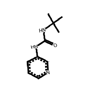 CC(C)(C)NC(=O)Nc1[c]nccc1